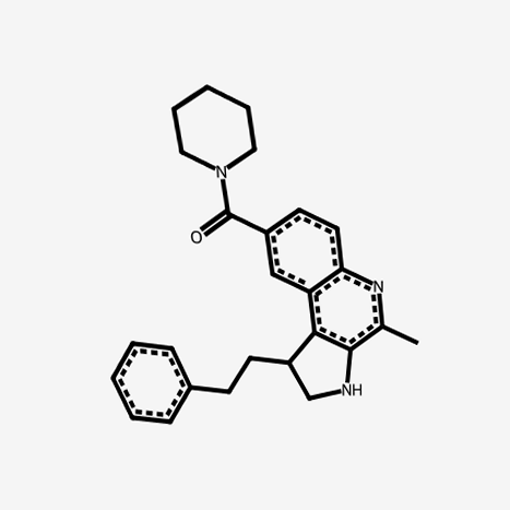 Cc1nc2ccc(C(=O)N3CCCCC3)cc2c2c1NCC2CCc1ccccc1